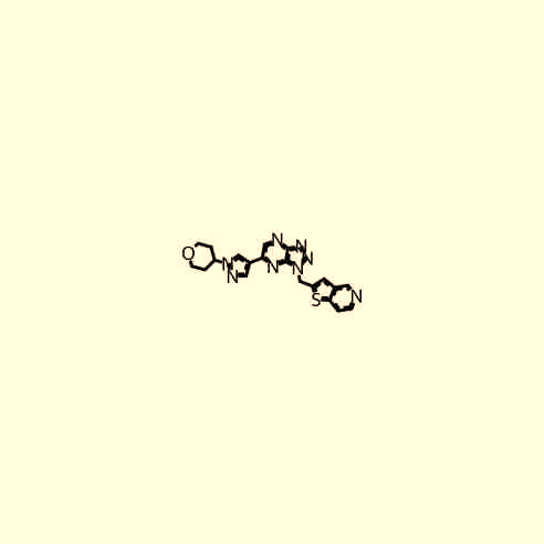 c1cc2sc(Cn3nnc4ncc(-c5cnn(C6CCOCC6)c5)nc43)cc2cn1